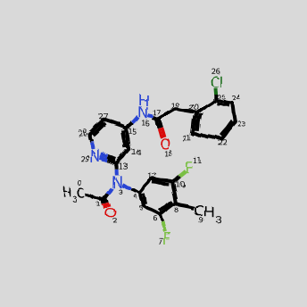 CC(=O)N(c1cc(F)c(C)c(F)c1)c1cc(NC(=O)Cc2ccccc2Cl)ccn1